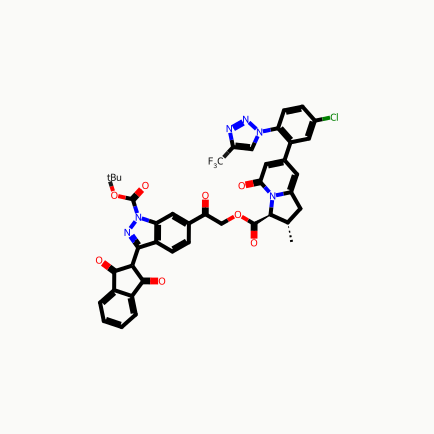 C[C@H]1Cc2cc(-c3cc(Cl)ccc3-n3cc(C(F)(F)F)nn3)cc(=O)n2[C@@H]1C(=O)OCC(=O)c1ccc2c(C3C(=O)c4ccccc4C3=O)nn(C(=O)OC(C)(C)C)c2c1